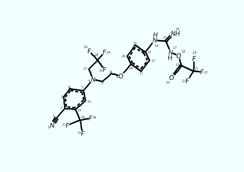 N#Cc1ccc(N(CCOc2ccc(NC(=N)NOC(=O)C(F)(F)F)cc2)CC(F)(F)F)cc1C(F)(F)F